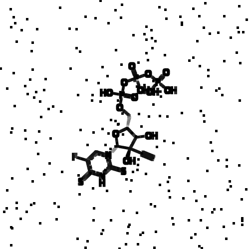 C#C[C@@]1(O)C(O)[C@@H](COP(=O)(O)OP(=O)(O)OP(=O)(O)O)O[C@H]1n1cc(F)c(=S)[nH]c1=S